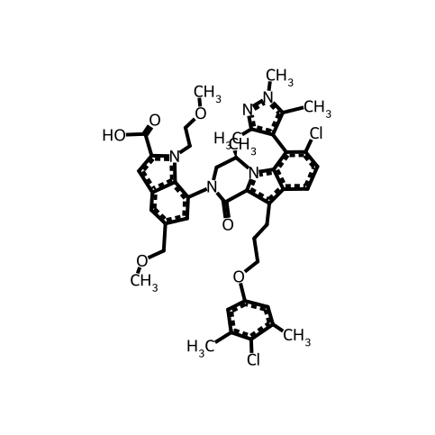 COCCn1c(C(=O)O)cc2cc(COC)cc(N3C[C@@H](C)n4c(c(CCCOc5cc(C)c(Cl)c(C)c5)c5ccc(Cl)c(-c6c(C)nn(C)c6C)c54)C3=O)c21